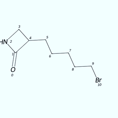 O=C1NCC1CCCCCBr